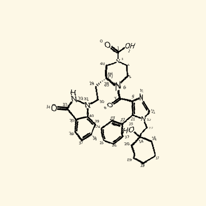 O=C(O)N1CCN(C(=O)c2ncn(CC3(O)CCCCC3)c2-c2ccccc2)[C@H](CCn2[nH]c(=O)c3ccccc32)C1